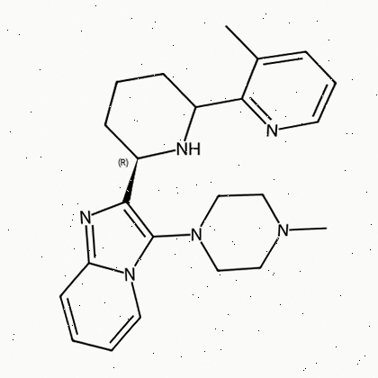 Cc1cccnc1C1CCC[C@H](c2nc3ccccn3c2N2CCN(C)CC2)N1